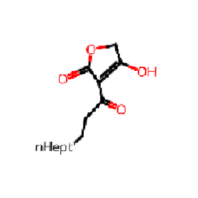 CCCCCCCCCC(=O)C1=C(O)COC1=O